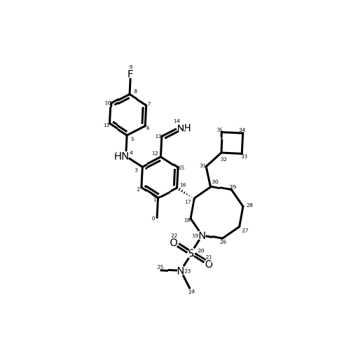 Cc1cc(Nc2ccc(F)cc2)c(C=N)cc1[C@H]1CN(S(=O)(=O)N(C)C)CCCCC1CC1CCC1